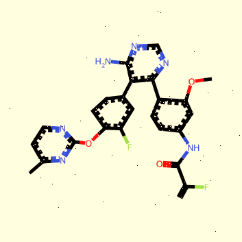 C=C(F)C(=O)Nc1ccc(-c2ncnc(N)c2-c2ccc(Oc3nccc(C)n3)c(F)c2)c(OC)c1